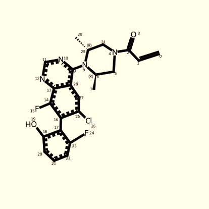 C=CC(=O)N1C[C@@H](C)N(c2ncnc3c(F)c(-c4c(O)cccc4F)c(Cl)cc23)[C@H](C)C1